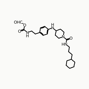 O=COC(=O)NCCc1ccc(NC2CCN(C(=O)NCCCC3CCCCC3)CC2)cc1